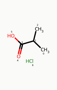 CC(C)C(=O)O.Cl